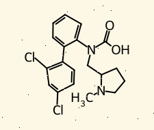 CN1CCCC1CN(C(=O)O)c1ccccc1-c1ccc(Cl)cc1Cl